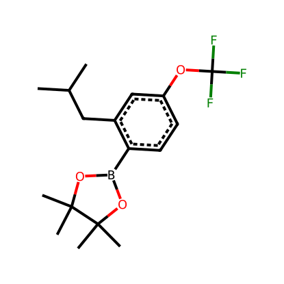 CC(C)Cc1cc(OC(F)(F)F)ccc1B1OC(C)(C)C(C)(C)O1